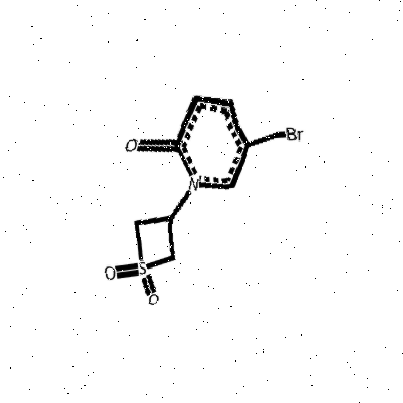 O=c1ccc(Br)cn1C1CS(=O)(=O)C1